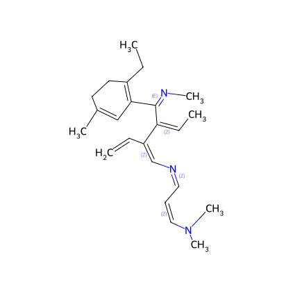 C=CC(=C/N=C\C=C/N(C)C)/C(=C/C)C(=N\C)/C1=C(CC)CCC(C)=C1